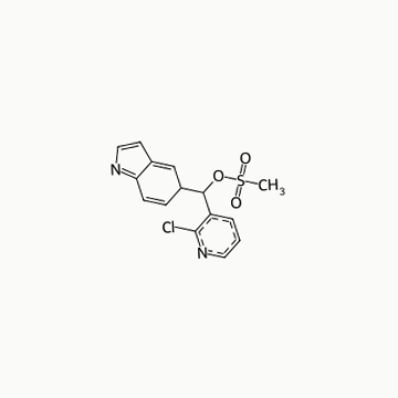 CS(=O)(=O)OC(c1cccnc1Cl)C1C=CC2=NC=CC2=C1